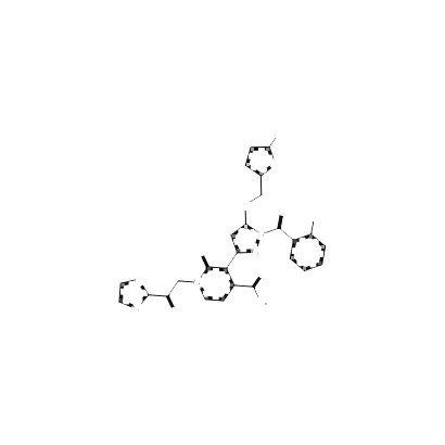 O=C(Cn1ccc(C(=O)O)c(-c2cc(NCc3ccc(Cl)s3)n(C(=O)c3ccccc3F)n2)c1=O)c1ncco1